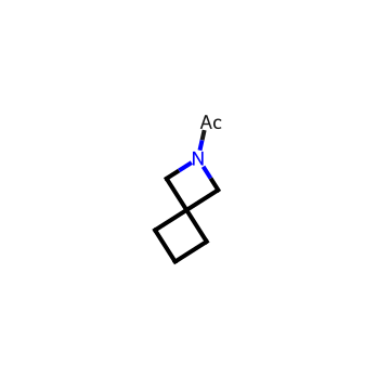 CC(=O)N1CC2(CCC2)C1